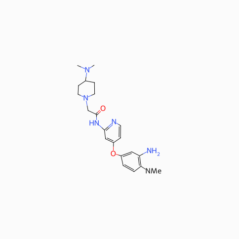 CNc1ccc(Oc2ccnc(NC(=O)CN3CCC(N(C)C)CC3)c2)cc1N